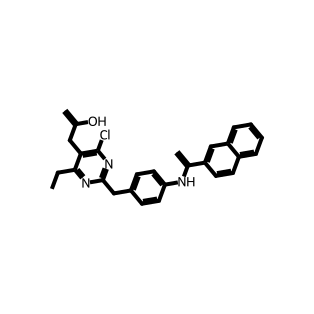 C=C(O)Cc1c(Cl)nc(Cc2ccc(NC(=C)c3ccc4ccccc4c3)cc2)nc1CC